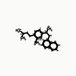 CN(C)CCc1cnc(N(C)Cc2cccc3ccccc23)nc1N